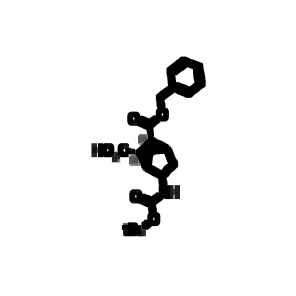 CC(C)(C)OC(=O)NC1CC2CC1[C@H](C(=O)O)[C@H]2C(=O)OCc1ccccc1